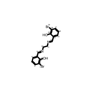 Oc1c(Br)cccc1/C=N/CC/N=C/c1cccc(Br)c1O